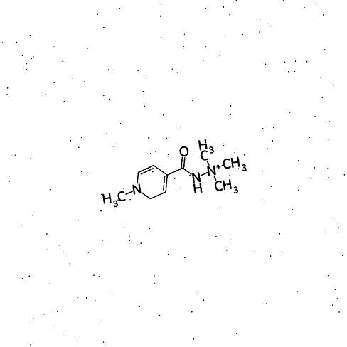 CN1C=CC(C(=O)N[N+](C)(C)C)=CC1